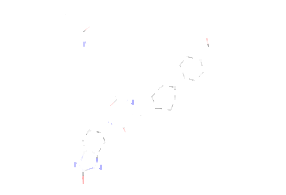 COC(=O)c1ccc(-c2ccc(C[C@H](NC(=O)[C@H]3CC[C@H](CNC(=O)OC(C)(C)C)CC3)C(=O)Nc3ccc4[nH]c(=O)[nH]c4c3)cc2)c(C)c1